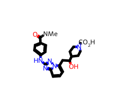 CNC(=O)c1ccc(Nc2nc3cccc(CC(O)C4CCN(C(=O)O)CC4)n3n2)cc1